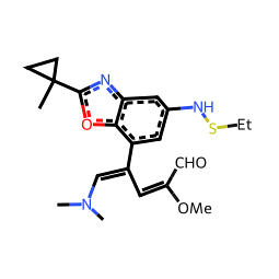 CCSNc1cc(C(/C=C(\C=O)OC)=C/N(C)C)c2oc(C3(C)CC3)nc2c1